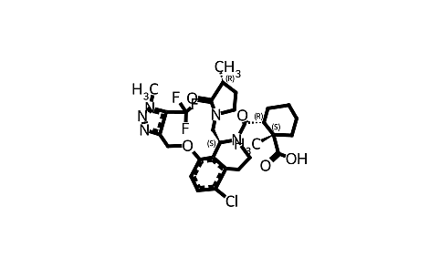 C[C@@H]1CCN(C[C@@H]2c3c(OCc4nnn(C)c4C(F)(F)F)ccc(Cl)c3CCN2C(=O)[C@@H]2CCCC[C@]2(C)C(=O)O)C1=O